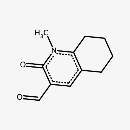 Cn1c2c(cc(C=O)c1=O)CCCC2